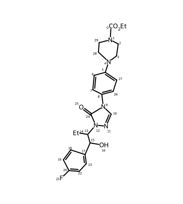 CCOC(=O)N1CCN(c2ccc(-n3cnn(C(CC)C(O)c4ccc(F)cc4)c3=O)cc2)CC1